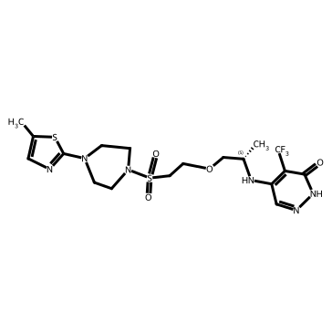 Cc1cnc(N2CCN(S(=O)(=O)CCOC[C@H](C)Nc3cn[nH]c(=O)c3C(F)(F)F)CC2)s1